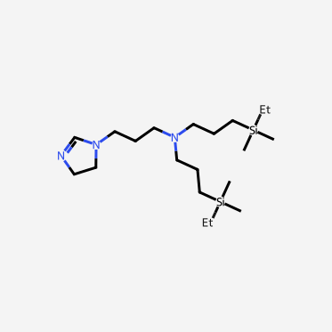 CC[Si](C)(C)CCCN(CCCN1C=NCC1)CCC[Si](C)(C)CC